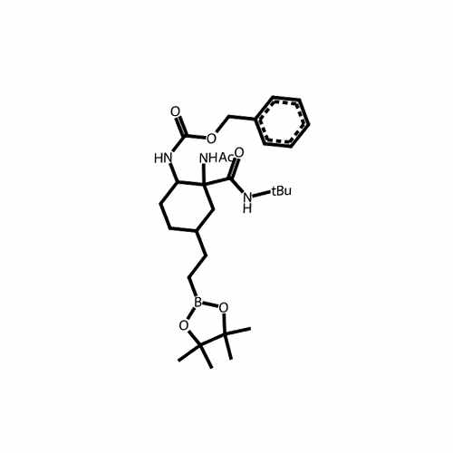 CC(=O)NC1(C(=O)NC(C)(C)C)CC(CCB2OC(C)(C)C(C)(C)O2)CCC1NC(=O)OCc1ccccc1